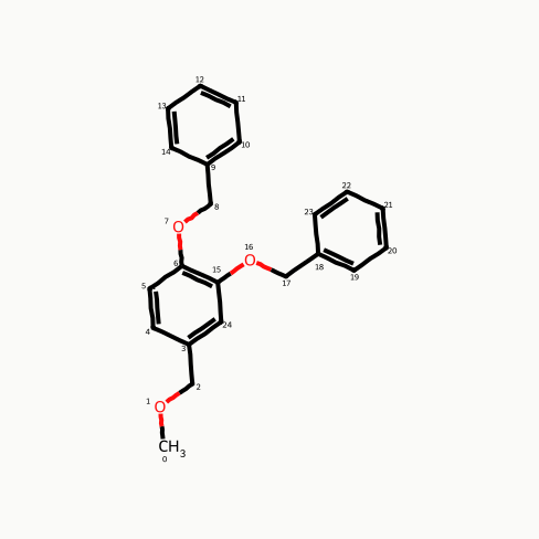 COCc1c[c]c(OCc2ccccc2)c(OCc2ccccc2)c1